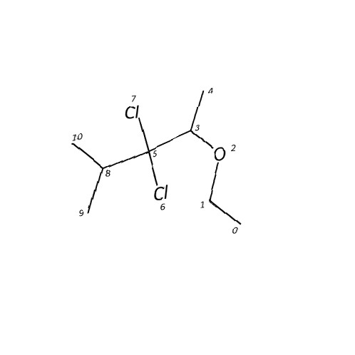 CCOC(C)C(Cl)(Cl)C(C)C